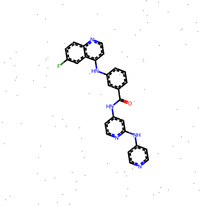 O=C(Nc1ccnc(Nc2ccncc2)c1)c1cccc(Nc2ccnc3ccc(F)cc23)c1